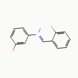 [O-][N+](=Cc1ccccc1Cl)c1cccc(O)c1